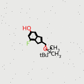 CC(C)(C)[Si](C)(C)OCC1=Cc2cc(O)cc(F)c2C1